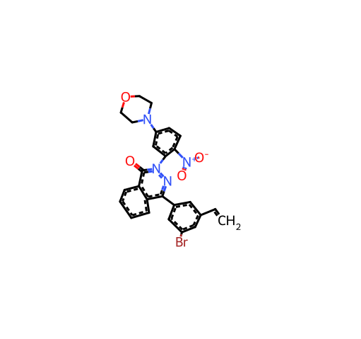 C=Cc1cc(Br)cc(-c2nn(-c3cc(N4CCOCC4)ccc3[N+](=O)[O-])c(=O)c3ccccc23)c1